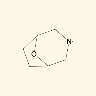 C1CC2C[N]CC1O2